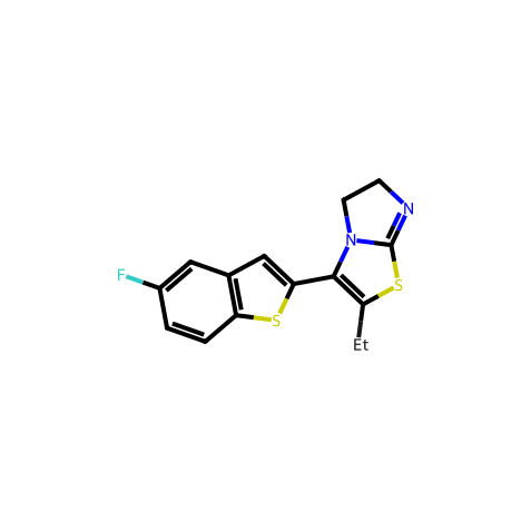 CCC1=C(c2cc3cc(F)ccc3s2)N2CCN=C2S1